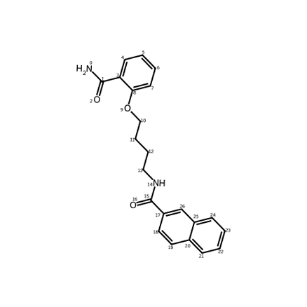 NC(=O)c1ccccc1OCCCCNC(=O)c1ccc2ccccc2c1